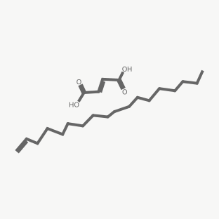 C=CCCCCCCCCCCCCCCCC.O=C(O)C=CC(=O)O